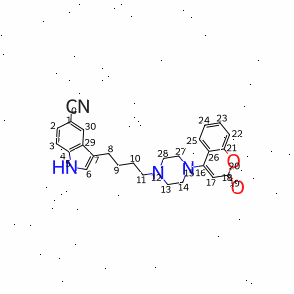 N#Cc1ccc2[nH]cc(CCCCN3CCN(c4cc(=O)oc5ccccc45)CC3)c2c1